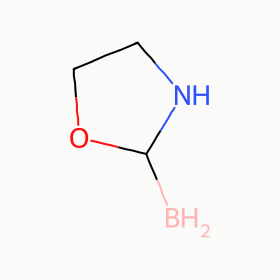 BC1NCCO1